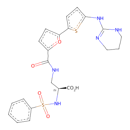 O=C(NC[C@H](NS(=O)(=O)c1ccccc1)C(=O)O)c1ccc(-c2ccc(NC3=NCCCN3)s2)o1